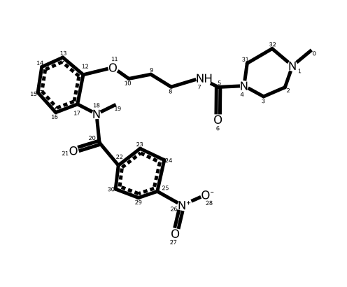 CN1CCN(C(=O)NCCCOc2ccccc2N(C)C(=O)c2ccc([N+](=O)[O-])cc2)CC1